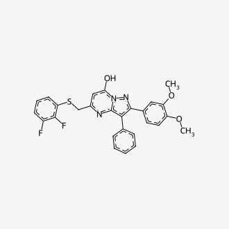 COc1ccc(-c2nn3c(O)cc(CSc4cccc(F)c4F)nc3c2-c2ccccc2)cc1OC